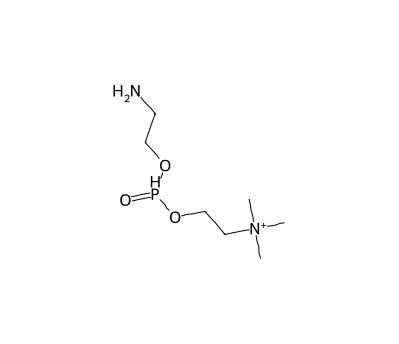 C[N+](C)(C)CCO[PH](=O)OCCN